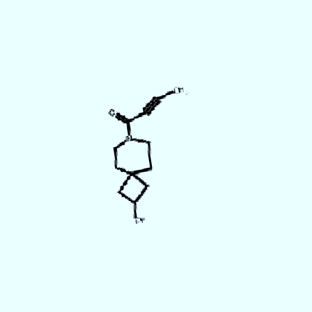 CC#CC(=O)N1CCC2(CC1)CC(C(C)C)C2